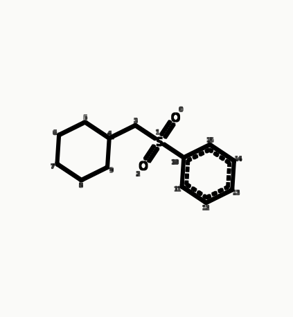 O=S(=O)(C[C]1CCCCC1)c1ccccc1